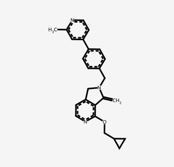 C=C1c2c(ccnc2OCC2CC2)CN1Cc1ccc(-c2ccnc(C)c2)cc1